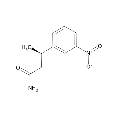 C[C@H](CC(N)=O)c1cccc([N+](=O)[O-])c1